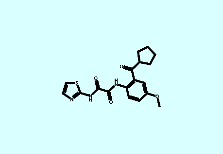 COc1ccc(NC(=O)C(=O)Nc2nccs2)c(C(=O)C2CCCC2)c1